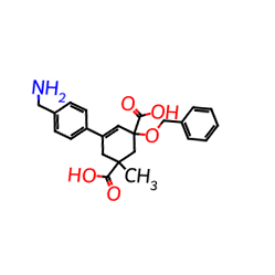 CC1(C(=O)O)CC(c2ccc(CN)cc2)=CC(OCc2ccccc2)(C(=O)O)C1